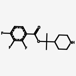 CC(C)(OC(=O)c1ccc(F)c(F)c1F)C1CCNCC1